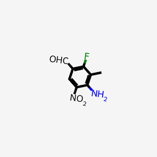 Cc1c(N)c([N+](=O)[O-])cc(C=O)c1F